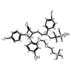 CC(C)(C[C@@H](CCC1C(=O)N(c2ccc(F)cc2)[C@@H]1c1ccc(O)cc1OCOCC[Si](C)(C)C)c1ccc(F)cc1)[Si](C)(C)O